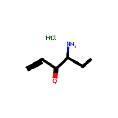 C=CC(=O)C(N)CC.Cl